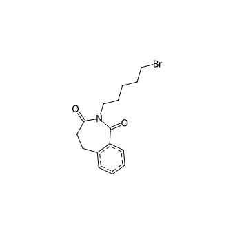 O=C1CCc2ccccc2C(=O)N1CCCCCBr